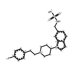 CCCS(=O)(=O)NCc1ccc2ccn(C3CCN(CCc4ccc(F)cc4)CC3)c2c1